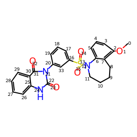 COc1cccc2c1CCCCN2S(=O)(=O)c1cccc(-n2c(=O)[nH]c3ccccc3c2=O)c1